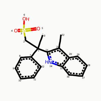 [CH2]C(CS(=O)(=O)O)(c1ccccc1)c1[nH]c2ccccc2c1C